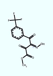 COC(=O)C(=O)/C(=N/O)C(=O)c1cccc(C(F)(F)F)c1